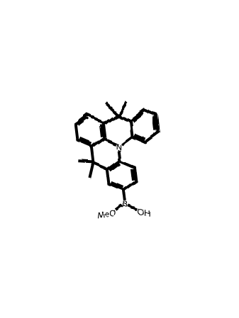 COB(O)c1ccc2c(c1)C(C)(C)c1cccc3c1N2c1ccccc1C3(C)C